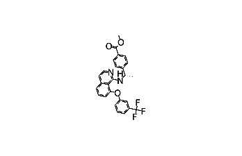 COC(=O)c1ccc([C@H](C)Nc2nccc3cccc(Oc4cccc(C(F)(F)F)c4)c23)cc1